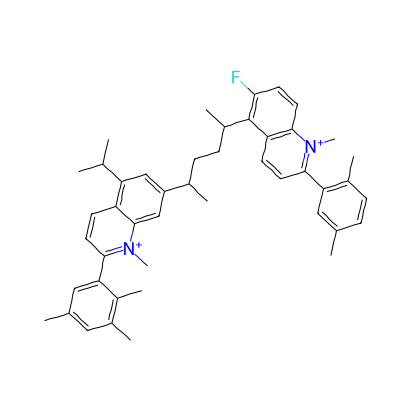 Cc1ccc(C)c(-c2ccc3c(C(C)CCC(C)c4cc(C(C)C)c5ccc(-c6cc(C)cc(C)c6C)[n+](C)c5c4)c(F)ccc3[n+]2C)c1